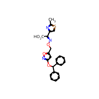 Cc1nc(/C(=N/OCc2cc(OC(c3ccccc3)c3ccccc3)no2)C(=O)O)cs1